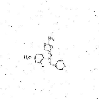 Cc1ccc(N(Cc2ccccc2)C[C@H]2COC(N)=N2)c(F)c1